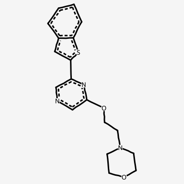 c1ccc2sc(-c3cncc(OCCN4CCOCC4)n3)cc2c1